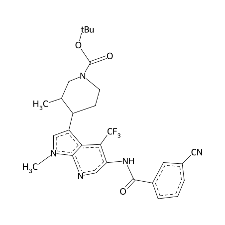 CC1CN(C(=O)OC(C)(C)C)CCC1c1cn(C)c2ncc(NC(=O)c3cccc(C#N)c3)c(C(F)(F)F)c12